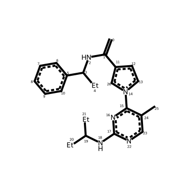 C=C(NC(CC)c1ccccc1)c1ccn(-c2nc(NC(CC)CC)ncc2C)c1